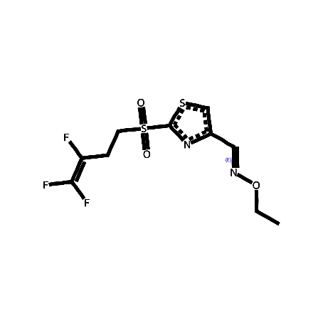 CCO/N=C/c1csc(S(=O)(=O)CCC(F)=C(F)F)n1